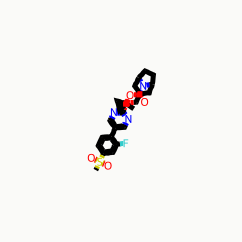 CC1(OC(=O)N2C3CCC2CC(COc2ncc(-c4ccc(S(C)(=O)=O)cc4F)cn2)C3)CC1